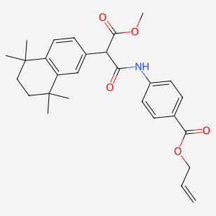 C=CCOC(=O)c1ccc(NC(=O)C(C(=O)OC)c2ccc3c(c2)C(C)(C)CCC3(C)C)cc1